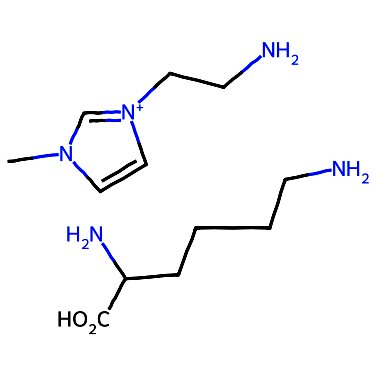 Cn1cc[n+](CCN)c1.NCCCCC(N)C(=O)O